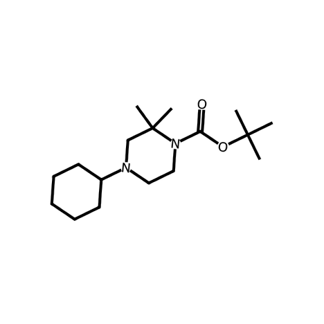 CC(C)(C)OC(=O)N1CCN(C2CCCCC2)CC1(C)C